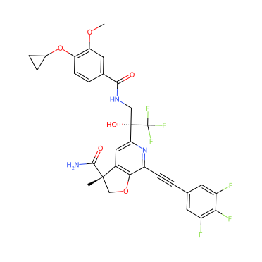 COc1cc(C(=O)NC[C@](O)(c2cc3c(c(C#Cc4cc(F)c(F)c(F)c4)n2)OC[C@]3(C)C(N)=O)C(F)(F)F)ccc1OC1CC1